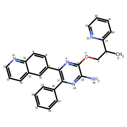 CC(COc1nc(-c2ccc3ncccc3c2)c(-c2ccccc2)nc1N)c1ccccn1